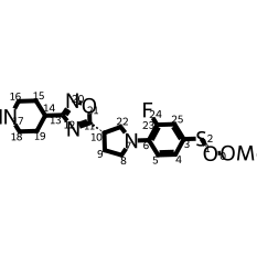 COOSc1ccc(N2CC[C@H](c3nc(C4CCNCC4)no3)C2)c(F)c1